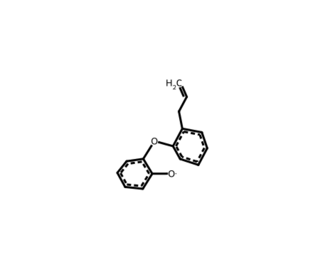 C=CCc1ccccc1Oc1ccccc1[O]